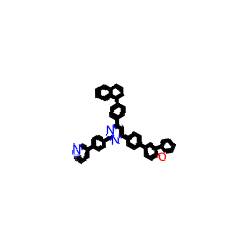 c1cncc(-c2ccc(-c3nc(-c4ccc(-c5ccc6oc7ccccc7c6c5)cc4)cc(-c4ccc(-c5cccc6ccccc56)cc4)n3)cc2)c1